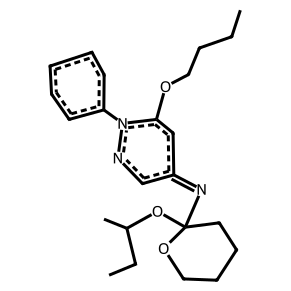 CCCCOc1c/c(=N/C2(OC(C)CC)CCCCO2)cnn1-c1ccccc1